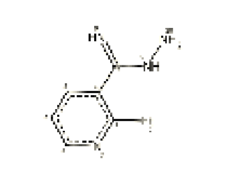 CCc1ncccc1C(=N)NN